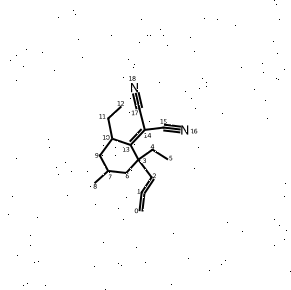 C=C=CC1(CC)CC(C)CC(CC)C1=C(C#N)C#N